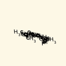 COc1ccc(NC(=O)N2CCN(c3ccc(NC(=O)Nc4cc(F)ccc4OC)cc3)CC2)c(C)c1